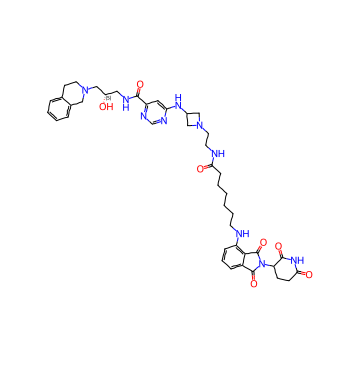 O=C(CCCCCCNc1cccc2c1C(=O)N(C1CCC(=O)NC1=O)C2=O)NCCN1CC(Nc2cc(C(=O)NC[C@H](O)CN3CCc4ccccc4C3)ncn2)C1